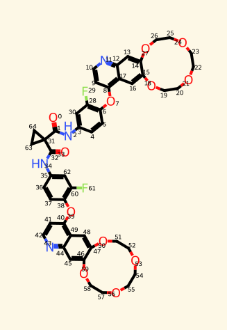 O=C(Nc1ccc(Oc2ccnc3cc4c(cc23)OCCOCCOCCO4)c(F)c1)C1(C(=O)Nc2ccc(Oc3ccnc4cc5c(cc34)OCCOCCOCCO5)c(F)c2)CC1